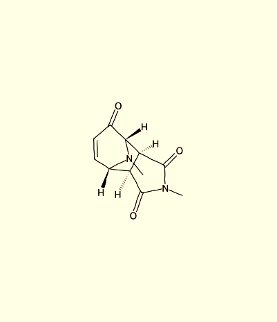 CN1C(=O)[C@@H]2[C@H](C1=O)[C@H]1C(=O)C=C[C@@H]2N1C